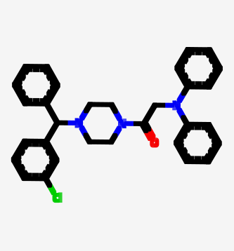 O=C(CN(c1ccccc1)c1ccccc1)N1CCN(C(c2ccccc2)c2cccc(Cl)c2)CC1